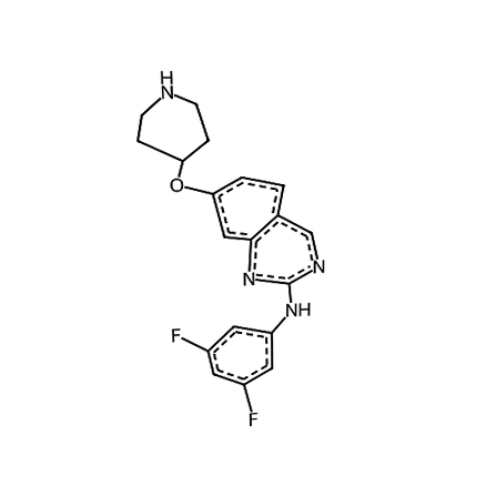 Fc1cc(F)cc(Nc2ncc3ccc(OC4CCNCC4)cc3n2)c1